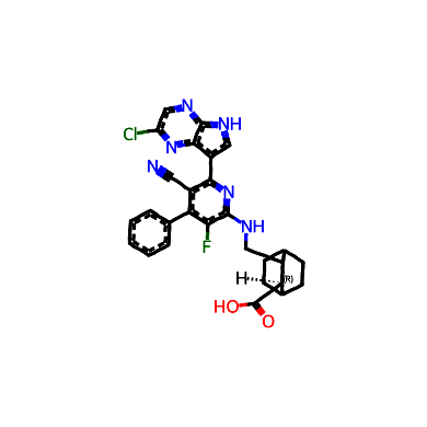 N#Cc1c(-c2c[nH]c3ncc(Cl)nc23)nc(NCC2C3CCC(CC3)[C@H]2C(=O)O)c(F)c1-c1ccccc1